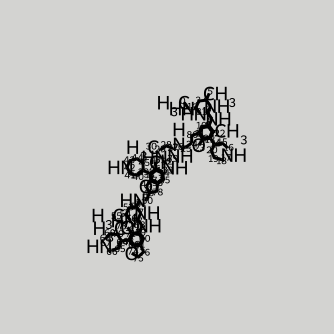 CNC1CC(C)NC(Nc2cc3c(c(C4=CCNCCC4)c2C)OC(CNC2CC(C)NC(Nc4cc5c(c(C6=CCNCCC6)c4Cl)OC(CNC4CC(C)NC(Nc6cc7c(c(C8=CCNCCC8)c6OC)OCC7)N4)C5)N2)C3)N1